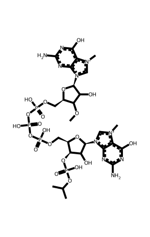 COC1C(O)[C@H](n2c[n+](C)c3c(O)nc(N)nc32)O[C@@H]1COP(=O)(O)OP(=O)(O)OP(=O)(O)OC[C@H]1O[C@@H](n2c[n+](C)c3c(O)nc(N)nc32)C(O)[C@H]1OP(=O)(O)OC(C)C